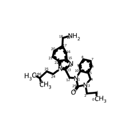 CCCN1Cc2ccccc2N(Cc2nc3cc(CN)ccc3n2CCC(C)C)C1=O